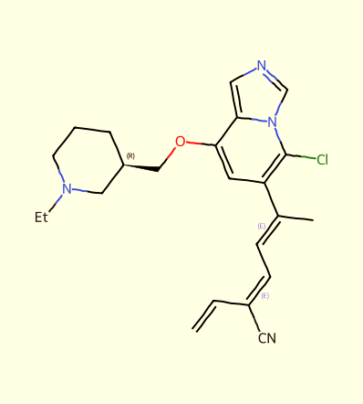 C=C/C(C#N)=C\C=C(/C)c1cc(OC[C@@H]2CCCN(CC)C2)c2cncn2c1Cl